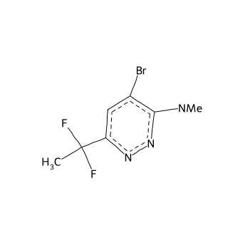 CNc1nnc(C(C)(F)F)cc1Br